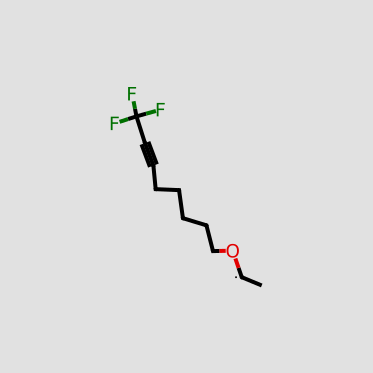 C[CH]OCCCCCC#CC(F)(F)F